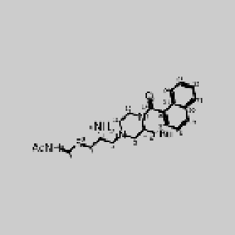 CCCCC1CN(C[C@@H](N)CSCNC(C)=O)CCN1C(=O)c1cccc2ccccc12